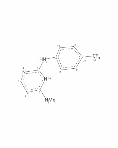 CNc1ncnc(Nc2ccc(C(F)(F)F)cc2)n1